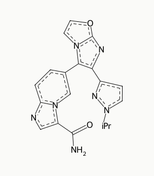 CC(C)n1ccc(-c2nc3occn3c2-c2ccc3ncc(C(N)=O)n3c2)n1